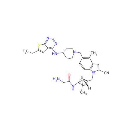 Cc1c(CN2CCC(Nc3ncnc4sc(CC(F)(F)F)cc34)CC2)ccc2c1cc(C#N)n2CC12CC(NC(=O)CN)(C1)[C@H]2C